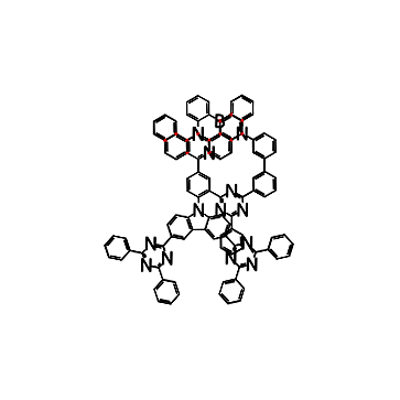 c1ccc(-c2cc(-c3ccc(-n4c5ccc(-c6nc(-c7ccccc7)nc(-c7ccccc7)n6)cc5c5cc(-c6nc(-c7ccccc7)nc(-c7ccccc7)n6)ccc54)c(-c4nc(-c5ccccc5)nc(-c5cccc(-c6cccc(N7c8ccccc8B8c9ccccc9N(c9ccccc9)c9cccc7c98)c6)c5)n4)c3)nc(-c3ccccc3)n2)cc1